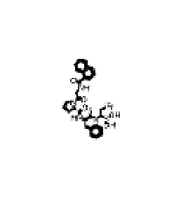 CC(C)C[C@H](NC(=S)[C@H](Cc1ccccc1)NC(=O)[C@@H]1CCCN1C(=O)CNC(=O)c1cccc2ccccc12)B(O)O